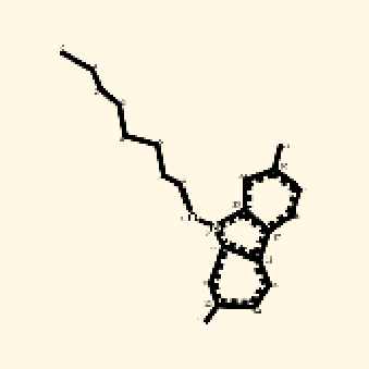 CCCCCCCCOn1c2cc(C)ccc2c2ccc(C)cc21